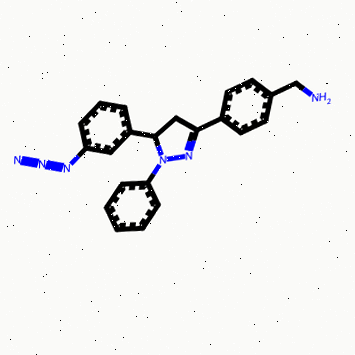 [N-]=[N+]=Nc1cccc(C2CC(c3ccc(CN)cc3)=NN2c2ccccc2)c1